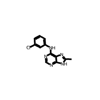 Cc1nc2c(Nc3cccc(Cl)c3)ncnc2[nH]1